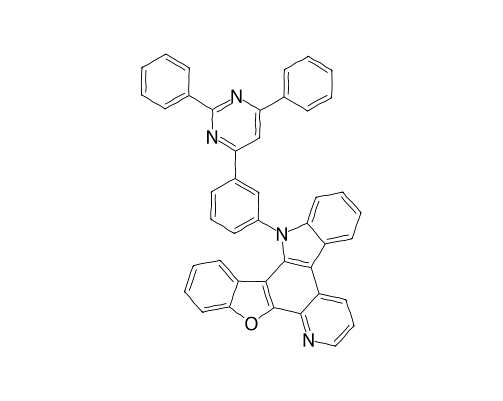 c1ccc(-c2cc(-c3cccc(-n4c5ccccc5c5c6cccnc6c6oc7ccccc7c6c54)c3)nc(-c3ccccc3)n2)cc1